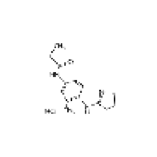 CCC(=O)Nc1ccc(NC2=NCCC2)c(C)c1.Cl